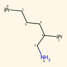 CC(C)CCCC(CN)C(C)C